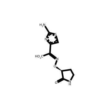 Nc1nc(/C(=N/O[C@H]2CCNC2=O)C(=O)O)cs1